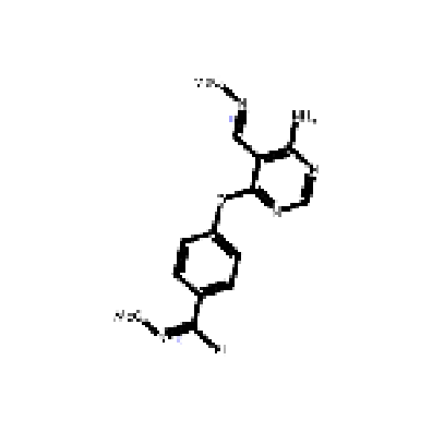 CC/C(=N/OC)c1ccc(Oc2ncnc(N)c2/C=N/OC)cc1